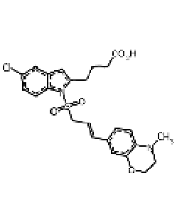 CN1CCOc2cc(C=CCS(=O)(=O)n3c(CCCC(=O)O)cc4cc(Cl)ccc43)ccc21